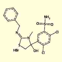 Br.CN1C(=NCc2ccccc2)SCC1(O)c1cc(S(N)(=O)=O)c(Cl)cc1Cl